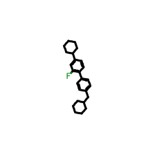 Fc1cc(C2CCCCC2)ccc1-c1ccc(CC2CCCCC2)cc1